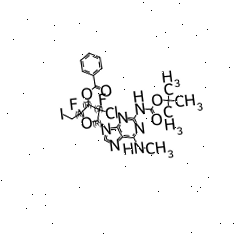 CNc1nc(NC(=O)OC(C)(C)C)nc2c1ncn2[C@@H]1O[C@](F)(CI)[C@@H](OC(=O)c2ccccc2)[C@]1(F)Cl